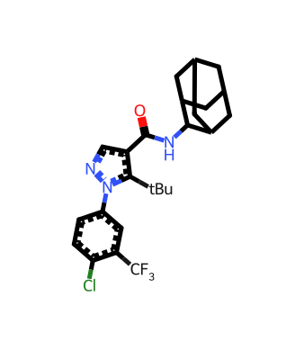 CC(C)(C)c1c(C(=O)NC2C3CC4CC(C3)CC2C4)cnn1-c1ccc(Cl)c(C(F)(F)F)c1